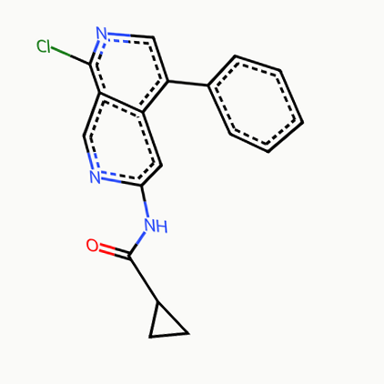 O=C(Nc1cc2c(-c3ccccc3)cnc(Cl)c2cn1)C1CC1